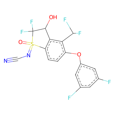 N#CN=S1(=O)c2ccc(Oc3cc(F)cc(F)c3)c(C(F)F)c2C(O)C1(F)F